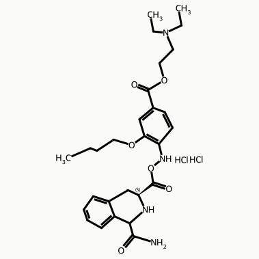 CCCCOc1cc(C(=O)OCCN(CC)CC)ccc1NOC(=O)[C@@H]1Cc2ccccc2C(C(N)=O)N1.Cl.Cl